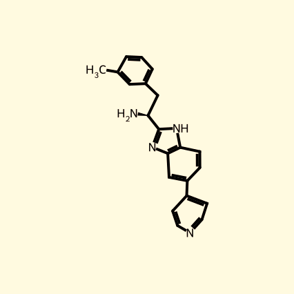 Cc1cccc(C[C@H](N)c2nc3cc(-c4ccncc4)ccc3[nH]2)c1